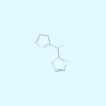 OC(C1=NC=CC1)C1=NC=CC1